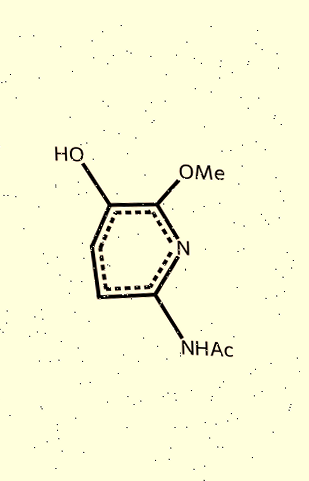 COc1nc(NC(C)=O)ccc1O